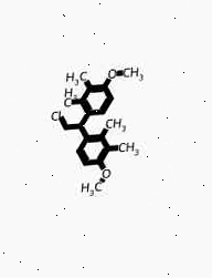 COc1ccc(C(CCl)c2ccc(OC)c(C)c2C)c(C)c1C